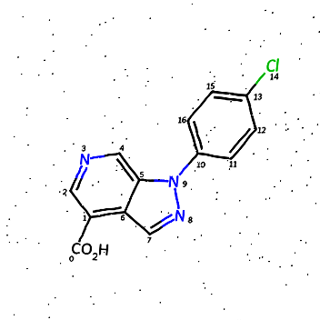 O=C(O)c1cncc2c1cnn2-c1ccc(Cl)cc1